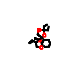 C=CC1CO[C@@]2(CCCCC2[C@]2(C=C)COC(CC)(CC)O2)O1